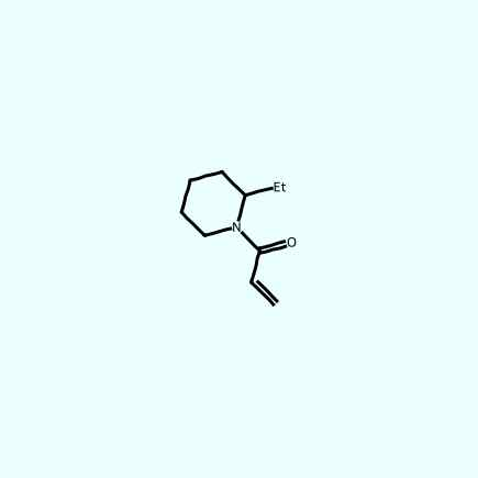 C=CC(=O)N1CCCCC1CC